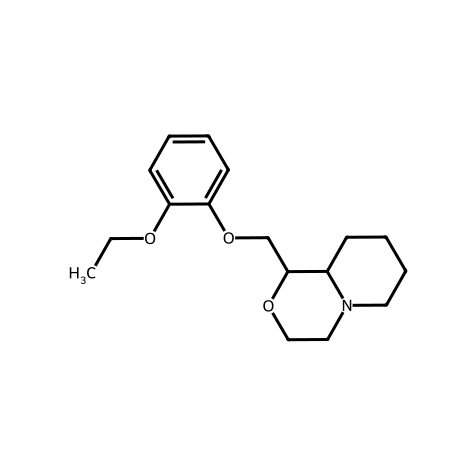 CCOc1ccccc1OCC1OCCN2CCCCC12